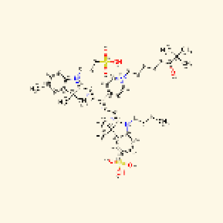 CCCCN1/C(=C/C=C(/C=C/C2=[N+](CCCS(=O)(=O)O)c3ccc(C)cc3C2(C)C)c2cc[n+](CCCCCC(=O)C(C)(C)C)cc2)C(C)(C)c2cc(S(=O)(=O)O)ccc21